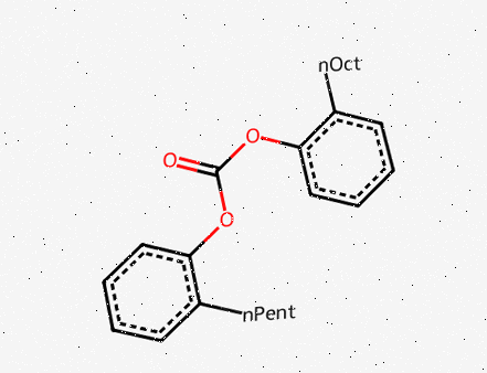 CCCCCCCCc1ccccc1OC(=O)Oc1ccccc1CCCCC